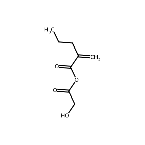 C=C(CCC)C(=O)OC(=O)CO